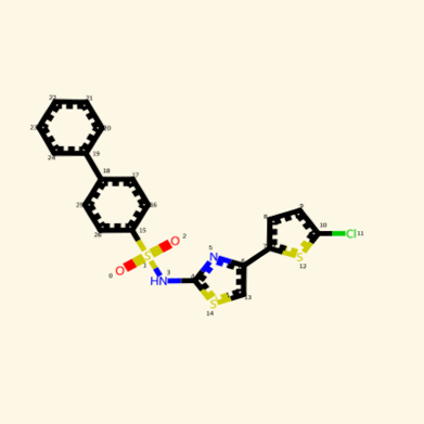 O=S(=O)(Nc1nc(-c2ccc(Cl)s2)cs1)c1ccc(-c2ccccc2)cc1